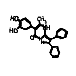 Cc1[nH]c2c(-c3ccccc3)c(-c3ccccc3)nn2c(=O)c1-c1ccc(O)c(O)c1